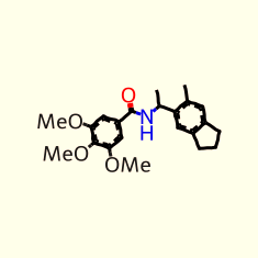 COc1cc(C(=O)NC(C)c2cc3c(cc2C)CCC3)cc(OC)c1OC